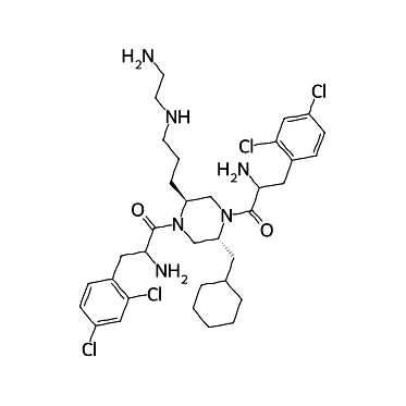 NCCNCCC[C@H]1CN(C(=O)C(N)Cc2ccc(Cl)cc2Cl)[C@H](CC2CCCCC2)CN1C(=O)C(N)Cc1ccc(Cl)cc1Cl